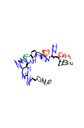 COCCN(C)c1ncc2ncnc(Nc3cc(C(=O)NC(=N)/C=C(\O)C(C)(C)C)ccc3F)c2n1